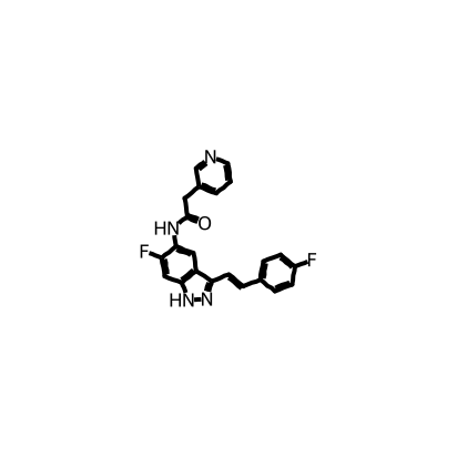 O=C(Cc1cccnc1)Nc1cc2c(/C=C/c3ccc(F)cc3)n[nH]c2cc1F